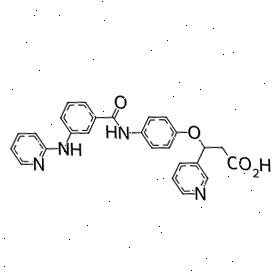 O=C(O)CC(Oc1ccc(NC(=O)c2cccc(Nc3ccccn3)c2)cc1)c1cccnc1